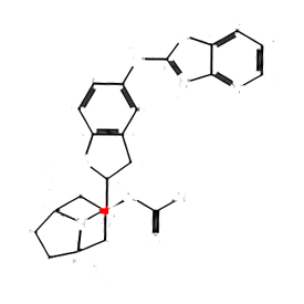 NC(=O)N[C@H]1C[C@H]2CC[C@@H](C1)N2CC1Cc2cc(Oc3nc4ncccc4s3)ccc2O1